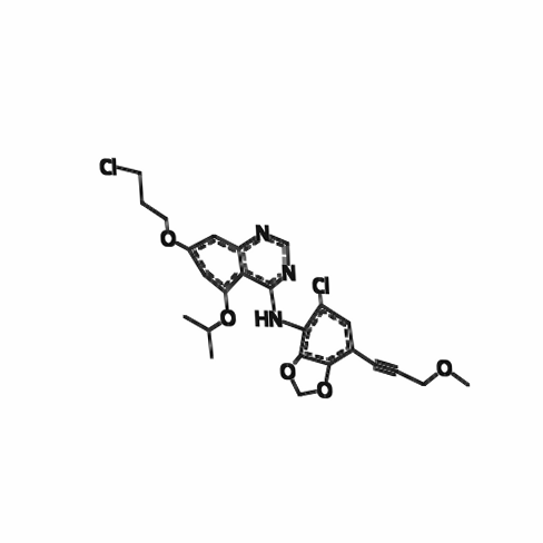 COCC#Cc1cc(Cl)c(Nc2ncnc3cc(OCCCCl)cc(OC(C)C)c23)c2c1OCO2